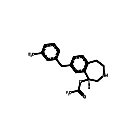 C[C@@]1(OC(=O)C(F)(F)F)CNCCc2ccc(Cc3cccc(C(F)(F)F)c3)cc21